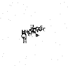 O=C(Cn1nc(C2CC2)n2c(cc3sc(Cl)cc32)c1=O)N[C@@H]1CCCNC1